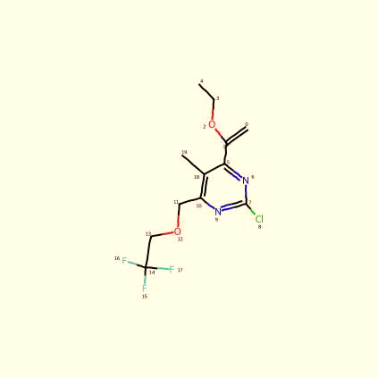 C=C(OCC)c1nc(Cl)nc(COCC(F)(F)F)c1C